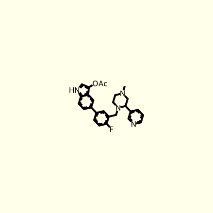 CC(=O)Oc1c[nH]c2ccc(-c3ccc(F)c(CN4CCN(C)CC4c4cccnc4)c3)cc12